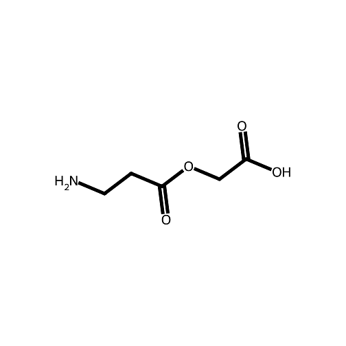 NCCC(=O)OCC(=O)O